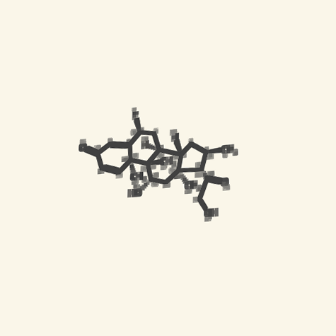 C[C@@H]1C[C@H]2[C@@H]3C[C@H](F)C4=CC(=O)C=C[C@]4(C)[C@@]3(C)[C@@H](O)C[C@]2(C)[C@H]1C(=O)CO